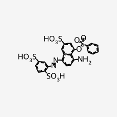 Nc1ccc(N=Nc2cc(S(=O)(=O)O)ccc2S(=O)(=O)O)c2cc(S(=O)(=O)O)cc(OS(=O)(=O)c3ccccc3)c12